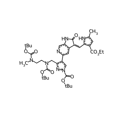 CCOC(=O)c1cc(C)[nH]c1/C=C1\C(=O)Nc2cnc(-c3cn(C(=O)OC(C)(C)C)nc3CN(CCN(C)C(=O)OC(C)(C)C)C(=O)OC(C)(C)C)cc21